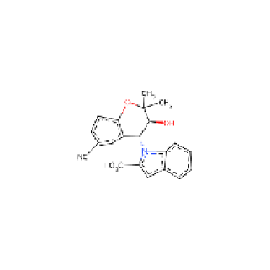 CC1(C)Oc2ccc(C#N)cc2[C@@H](n2c(C(=O)O)cc3ccccc32)[C@@H]1O